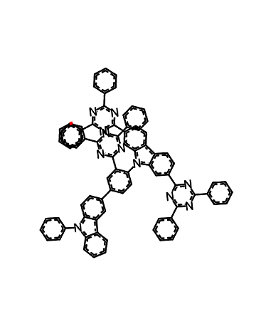 c1ccc(-c2nc(-c3ccccc3)nc(-c3ccc4c5ccc(-c6nc(-c7ccccc7)nc(-c7ccccc7)n6)cc5n(-c5ccc(-c6ccc7c(c6)c6ccccc6n7-c6ccccc6)cc5-c5nc(-c6ccccc6)nc(-c6ccccc6)n5)c4c3)n2)cc1